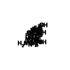 Nc1nc2c(nnn2[C@]2(OP(O)(=S)OC[C@H]3O[C@@H](n4cnc5c(N)ncnc54)[C@@H](F)[C@@H]3O)CO[C@H](CO)[C@@H]2F)c(=O)[nH]1